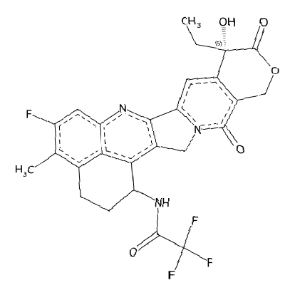 CC[C@@]1(O)C(=O)OCc2c1cc1n(c2=O)Cc2c-1nc1cc(F)c(C)c3c1c2C(NC(=O)C(F)(F)F)CC3